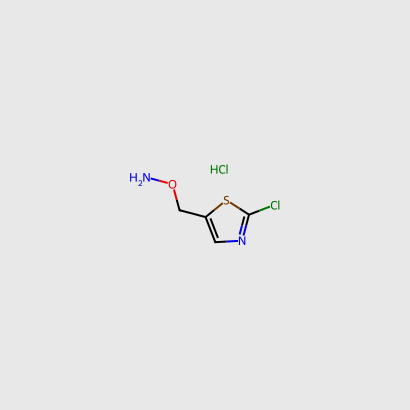 Cl.NOCc1cnc(Cl)s1